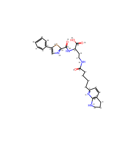 O=C(CCCCc1ccc2c(n1)NCCC2)NCCC(NC(=O)c1ncc(-c2ccccc2)s1)C(=O)O